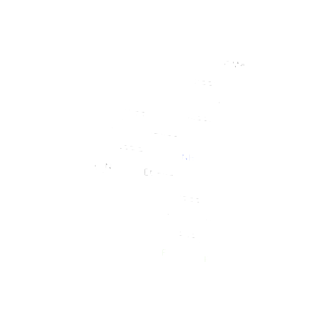 CCC(NC(c1ccc(OC)cc1)c1cccc([N+](=O)[O-])c1)c1ccc(F)c(F)c1